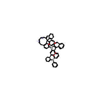 C=C1/C=C\C=C/Cc2ccc(-n3c4cc(-c5ccccc5N(c5ccccc5)c5ccccc5)ccc4c4c5ccccc5ccc43)cc2C1(c1ccccc1)c1ccccc1